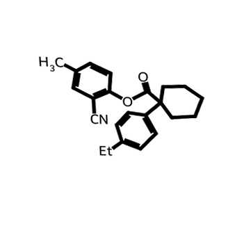 CCc1ccc(C2(C(=O)Oc3ccc(C)cc3C#N)CCCCC2)cc1